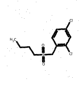 CCCCS(=O)(=O)Cc1ccc(Cl)cc1Cl